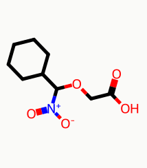 O=C(O)COC(C1CCCCC1)[N+](=O)[O-]